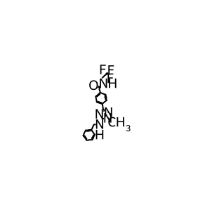 Cn1nc(-c2ccc(C(=O)NCC(F)(F)F)cc2)nc1NCc1ccccc1